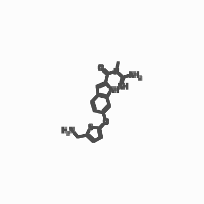 CN(C(=N)N)C(=O)c1cc2ccc(Oc3ccc(CN)s3)cc2[nH]1